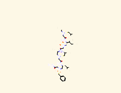 CCC(C)[C@@H](CN(CC(=O)N[C@@H](C)CN(CC(=O)N[C@@H](CC(C)C)CN(CC(N)=O)S(=O)(=O)Cc1ccccc1)S(=O)(=O)CC(C)C)S(C)(=O)=O)NC(=O)CN(CC)S(=O)(=O)CC(C)C